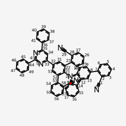 N#Cc1ccccc1-c1ccc2c(c1)c1ccccc1n2-c1c(-c2ccccc2C#N)cc(-c2cc(-c3ccccc3)nc(-c3ccccc3)n2)cc1-c1ccccc1C#N